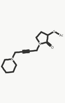 CC(=O)SC1CCN(CC#CCN2CCCCC2)C1=O